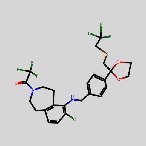 O=C(N1CCc2ccc(Cl)c(NCc3ccc(C4(CSCC(F)(F)F)OCCO4)cc3)c2CC1)C(F)(F)F